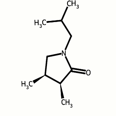 CC(C)CN1C[C@H](C)[C@H](C)C1=O